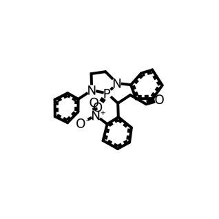 O=CCC(c1ccccc1[N+](=O)[O-])P1(=O)N(c2ccccc2)CCN1c1ccccc1